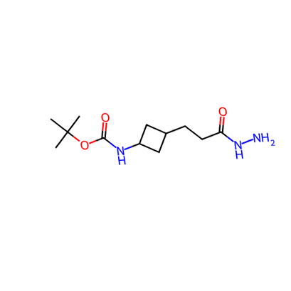 CC(C)(C)OC(=O)NC1CC(CCC(=O)NN)C1